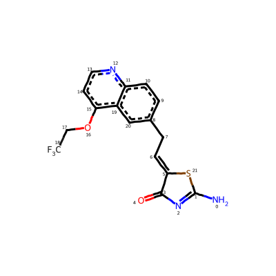 NC1=NC(=O)/C(=C/Cc2ccc3nccc(OCC(F)(F)F)c3c2)S1